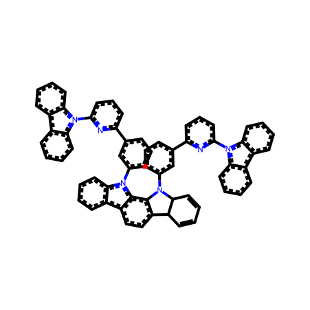 C1=CC2c3ccc4c5ccccc5n(-c5cccc(-c6cccc(-n7c8ccccc8c8ccccc87)n6)c5)c4c3N(c3cccc(-c4cccc(-n5c6ccccc6c6ccccc65)n4)c3)C2C=C1